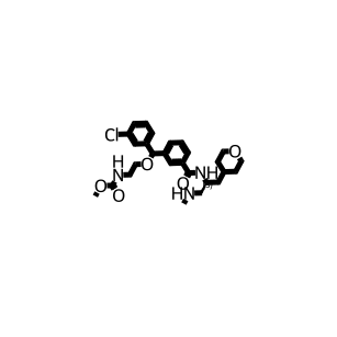 CNC[C@H](CC1CCOCC1)NC(=O)c1cccc(C(OCCNC(=O)OC)c2cccc(Cl)c2)c1